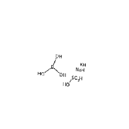 O=S(=O)(O)O.OB(O)O.[KH].[NaH]